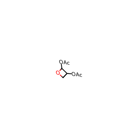 CC(=O)OC1COC1OC(C)=O